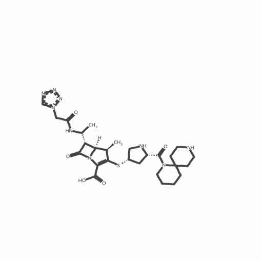 CC(NC(=O)Cn1cnnn1)[C@H]1C(=O)N2C(C(=O)O)=C(S[C@@H]3CN[C@H](C(=O)N4CCCCC45CCNCC5)C3)[C@H](C)[C@H]12